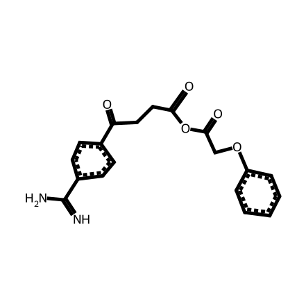 N=C(N)c1ccc(C(=O)CCC(=O)OC(=O)COc2ccccc2)cc1